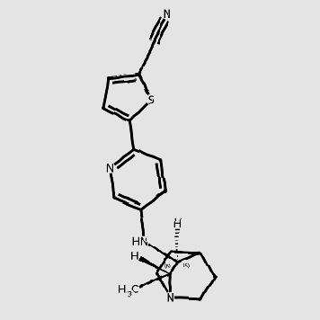 C[C@@H]1[C@@H](Nc2ccc(-c3ccc(C#N)s3)nc2)C2CCN1CC2